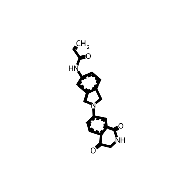 C=CC(=O)Nc1ccc2c(c1)CN(c1ccc3c(c1)C(=O)NCC3=O)C2